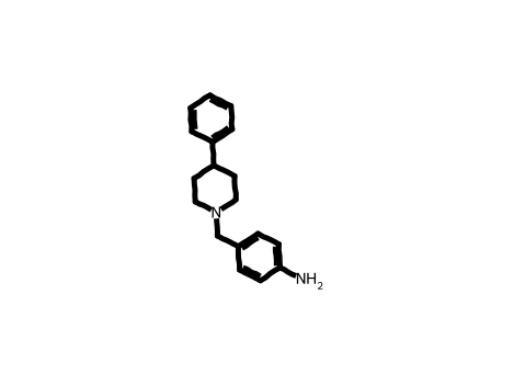 Nc1ccc(CN2CCC(c3ccccc3)CC2)cc1